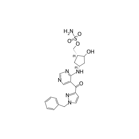 NS(=O)(=O)OC[C@H]1C[C@@H](Nc2ncncc2C(=O)c2ccn(Cc3ccccc3)n2)CC1O